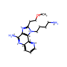 COCCc1nc2c(N)nc3cccnc3c2n1CCCCN